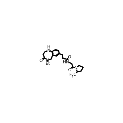 CCN1Cc2cc(CCC(=O)NCC(=O)N3CCCC3C(F)(F)F)ccc2NCCC1=O